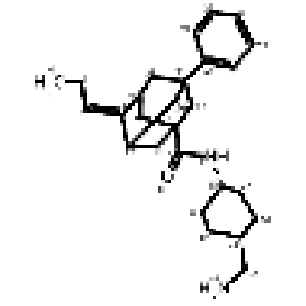 CCC=C1C2CC3(C(=O)N[C@H]4CC[C@H](CN)CC4)CC1CC(c1ccccc1)(C2)C3